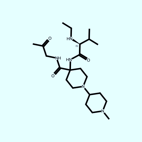 CCN[C@H](C(=O)NC1(C(=O)NCC(C)=O)CCN(C2CCN(C)CC2)CC1)C(C)C